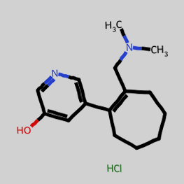 CN(C)CC1=C(c2cncc(O)c2)CCCCC1.Cl